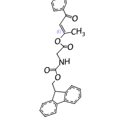 C/C(=C\C(=O)c1ccccc1)OC(=O)CNC(=O)OCC1c2ccccc2-c2ccccc21